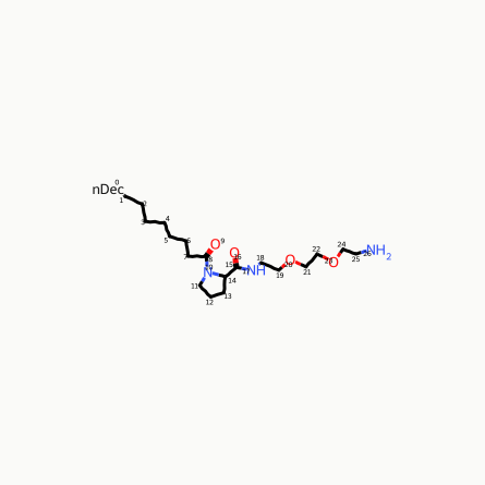 CCCCCCCCCCCCCCCCCC(=O)N1CCCC1C(=O)NCCOCCOCCN